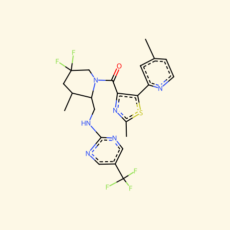 Cc1ccnc(-c2sc(C)nc2C(=O)N2CC(F)(F)CC(C)C2CNc2ncc(C(F)(F)F)cn2)c1